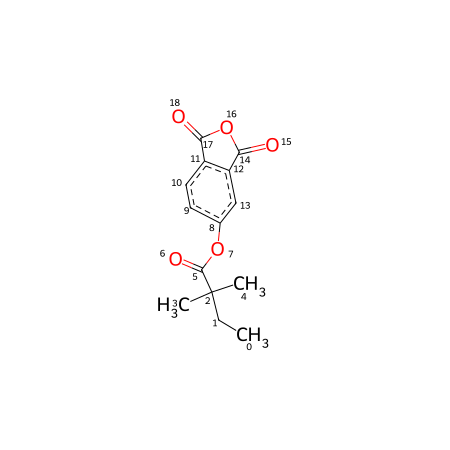 CCC(C)(C)C(=O)Oc1ccc2c(c1)C(=O)OC2=O